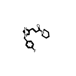 O=C(C=Cc1cn(Cc2ccc(F)cc2)cn1)N1CCCCC1